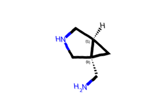 NC[C@]12CNC[C@H]1C2